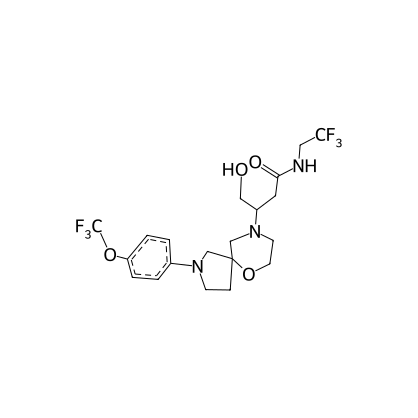 O=C(CC(CO)N1CCOC2(CCN(c3ccc(OC(F)(F)F)cc3)C2)C1)NCC(F)(F)F